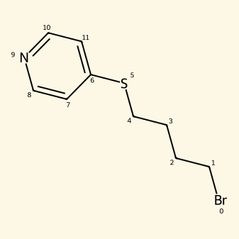 BrCCCCSc1ccncc1